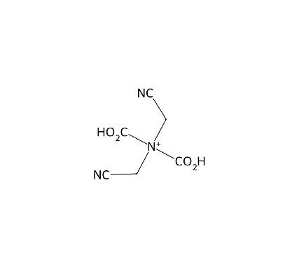 N#CC[N+](CC#N)(C(=O)O)C(=O)O